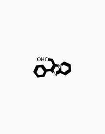 O=CCc1c(C2=CC=CCC2)nc2ccccn12